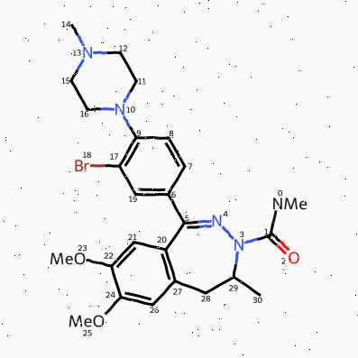 CNC(=O)N1N=C(c2ccc(N3CCN(C)CC3)c(Br)c2)c2cc(OC)c(OC)cc2CC1C